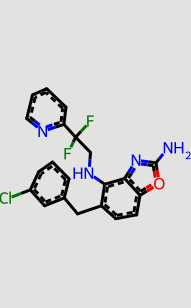 Nc1nc2c(NCC(F)(F)c3ccccn3)c(Cc3cccc(Cl)c3)ccc2o1